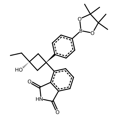 CC[C@]1(O)C[C@@](c2ccc(B3OC(C)(C)C(C)(C)O3)cc2)(c2cccc3c2C(=O)NC3=O)C1